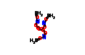 BCc1ccc(OCCCc2cn(CCC(C)(C)OCCC(C)(C)OCC(CC(C)(C)OCC(C)OC(C)(C)CCOC(C)(C)CCn3cc(CCCOc4ccc(CB)cc4)nn3)OC(C)(C)CCOC(C)(C)CCn3cc(CCCOc4ccc(CB)cc4)nn3)nn2)cc1